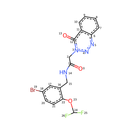 O=C(Cn1nnc2ccccc2c1=O)NCc1cc(Br)ccc1OC(F)F